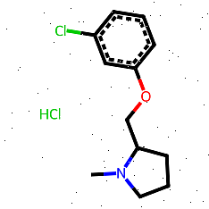 CN1CCCC1COc1cccc(Cl)c1.Cl